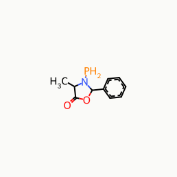 CC1C(=O)OC(c2ccccc2)N1P